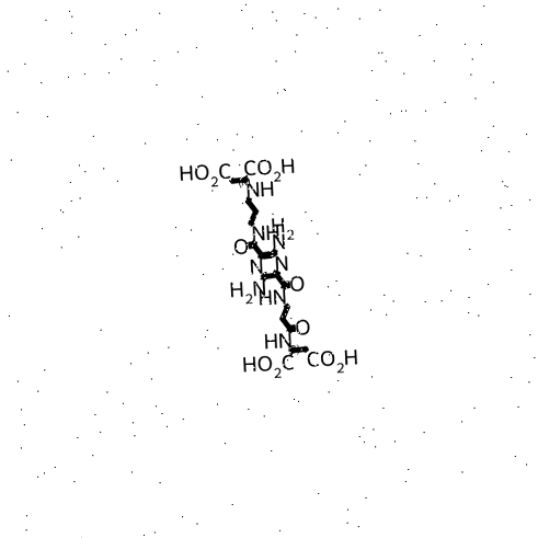 Nc1nc(C(=O)NCCC(=O)N[C@H](CC(=O)O)C(=O)O)c(N)nc1C(=O)NCCCN[C@H](CC(=O)O)C(=O)O